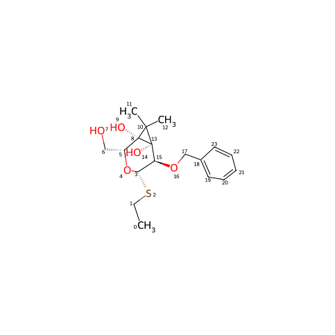 CCS[C@@H]1O[C@H](CO)[C@@]2(O)C(C)(C)[C@@]2(O)[C@H]1OCc1ccccc1